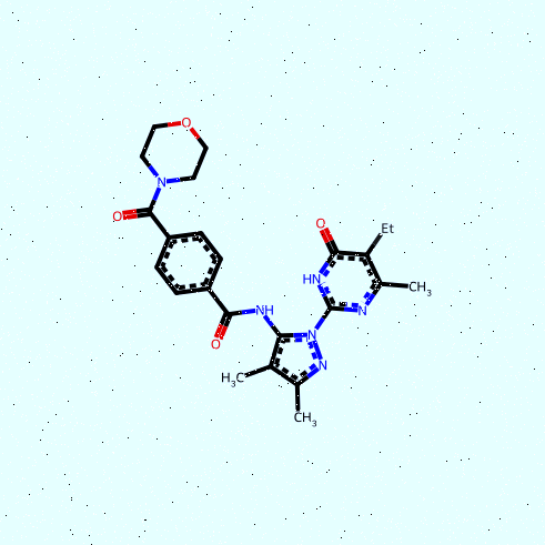 CCc1c(C)nc(-n2nc(C)c(C)c2NC(=O)c2ccc(C(=O)N3CCOCC3)cc2)[nH]c1=O